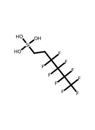 O[Si](O)(O)CCC(F)(F)C(F)(F)C(F)(F)C(F)(F)F